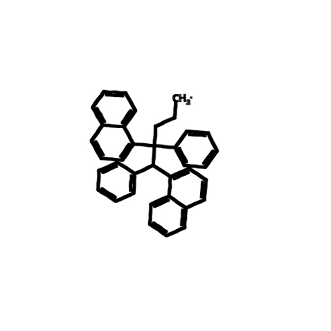 [CH2]CCC(c1ccccc1)(c1cccc2ccccc12)C(c1ccccc1)c1cccc2ccccc12